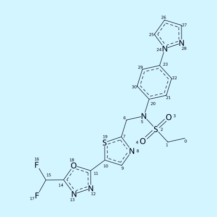 CCS(=O)(=O)N(Cc1ncc(-c2nnc(C(F)F)o2)s1)c1ccc(-n2cccn2)cc1